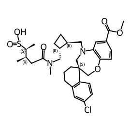 COC(=O)c1ccc2c(c1)N(C[C@@H]1CC[C@H]1CN(C)C(=O)C[C@@H](C)[C@H](C)S(=O)O)C[C@@]1(CCCc3cc(Cl)ccc31)CO2